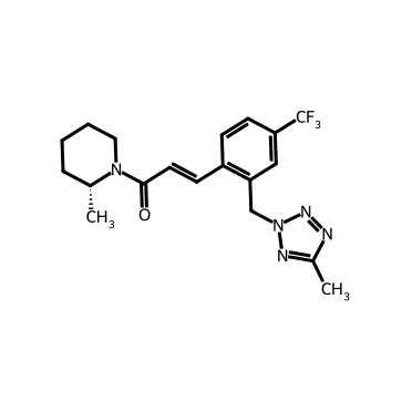 Cc1nnn(Cc2cc(C(F)(F)F)ccc2/C=C/C(=O)N2CCCC[C@H]2C)n1